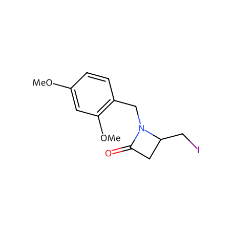 COc1ccc(CN2C(=O)CC2CI)c(OC)c1